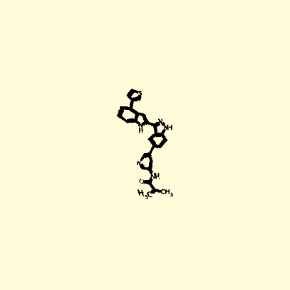 CC(C)C(=O)Nc1cncc(-c2ccc3[nH]nc(-c4cc5c(-c6ccsc6)cccc5[nH]4)c3c2)c1